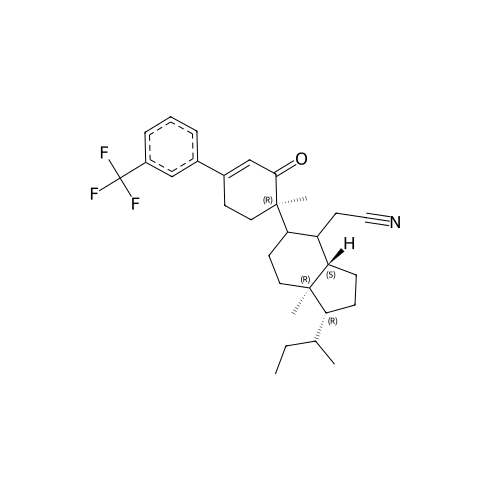 CCC(C)[C@H]1CC[C@H]2C(CC#N)C([C@@]3(C)CCC(c4cccc(C(F)(F)F)c4)=CC3=O)CC[C@]12C